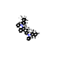 [2H]c1c([2H])c([2H])c2c([2H])c(N(c3ccccc3)c3ccc4c(c3)C(C)(C)c3cc(N(c5ccccc5)c5c([2H])c([2H])c6c([2H])c([2H])c([2H])c([2H])c6c5[2H])c5ccccc5c3-4)c([2H])c([2H])c2c1[2H]